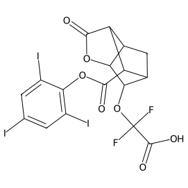 O=C1OC2C3CC(C2OC(F)(F)C(=O)O)C(C(=O)Oc2c(I)cc(I)cc2I)C13